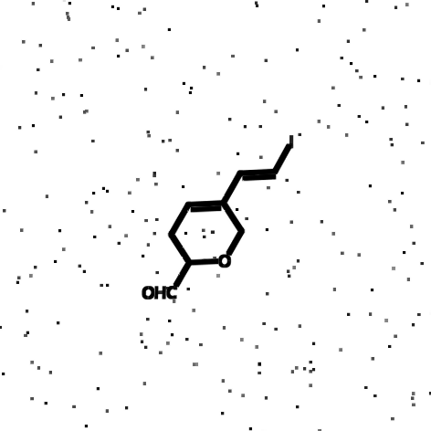 O=CC1CC=C(C=CI)CO1